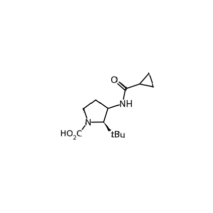 CC(C)(C)[C@@H]1C(NC(=O)C2CC2)CCN1C(=O)O